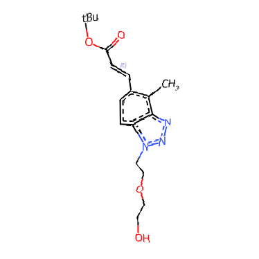 Cc1c(/C=C/C(=O)OC(C)(C)C)ccc2c1nnn2CCOCCO